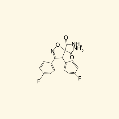 NC(=O)C1(C(N)=O)ON=C(c2ccc(F)cc2)C1c1ccc(F)cc1